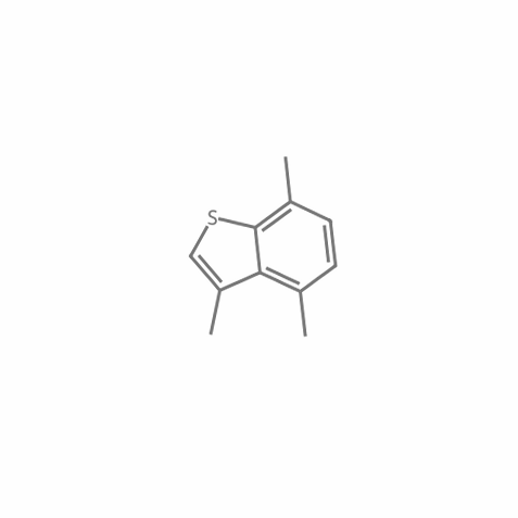 Cc1ccc(C)c2c(C)csc12